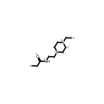 O=C(CI)NCCN1CCN(CI)CC1